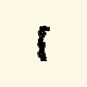 CCCC[C@H]1CC[C@H](CCCOc2ccc(OC[C@H]3CC[C@H](CC)CC3)cc2)CC1